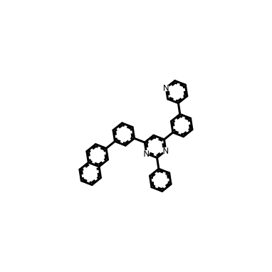 c1ccc(-c2nc(-c3cccc(-c4cccnc4)c3)cc(-c3cccc(-c4ccc5ccccc5c4)c3)n2)cc1